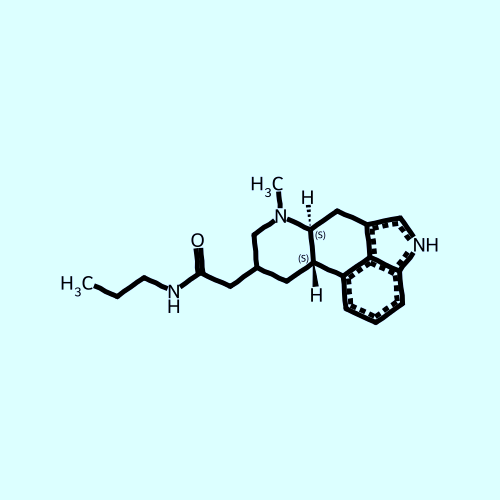 CCCNC(=O)CC1C[C@H]2c3cccc4[nH]cc(c34)C[C@@H]2N(C)C1